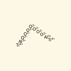 [Al+3].[Al+3].[O-2].[O-2].[O-2].[O-2].[O-2].[O-2].[O-2].[Ti+4].[Ti+4]